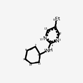 CCc1cnc(NC2CCCCC2)nc1